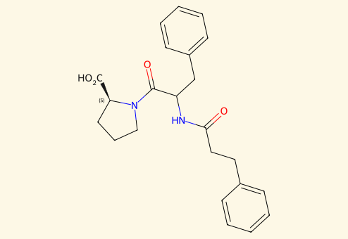 O=C(CCc1ccccc1)NC(Cc1ccccc1)C(=O)N1CCC[C@H]1C(=O)O